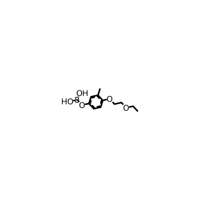 CCOCCOc1ccc(OB(O)O)cc1C